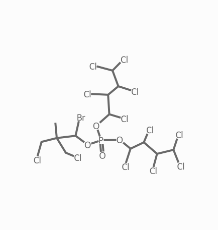 CC(CCl)(CCl)C(Br)OP(=O)(OC(Cl)C(Cl)C(Cl)C(Cl)Cl)OC(Cl)C(Cl)C(Cl)C(Cl)Cl